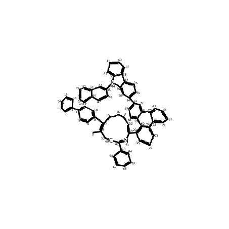 C/C1=C(\c2ccc(-c3ccccc3)cc2)CCC/C=C(c2cccc3c4ccccc4c4cc(-c5ccc6c7ccccc7n(-c7ccc8ccccc8c7)c6c5)ccc4c23)\N=C(\c2ccccc2)CC1